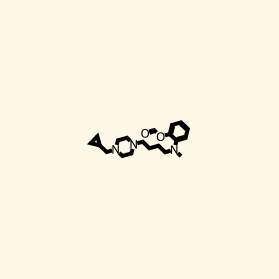 CN(CCCCN1CCN(CC2CC2)CC1)c1ccccc1OC=O